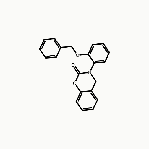 O=C1Oc2ccccc2CN1c1ccccc1OCc1ccccc1